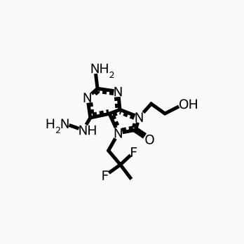 CC(F)(F)Cn1c(=O)n(CCO)c2nc(N)nc(NN)c21